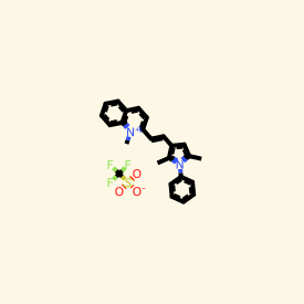 Cc1cc(/C=C/c2ccc3ccccc3[n+]2C)c(C)n1-c1ccccc1.O=S(=O)([O-])C(F)(F)F